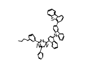 CCCCc1cccc(-c2nc(-c3ccccc3)nc(-c3ccc(-n4c5ccccc5c5cc(-c6cccc7c6sc6ccccc67)ccc54)c4ccccc34)n2)c1